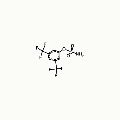 NS(=O)(=O)Oc1cc(C(F)(F)F)cc(C(F)(F)F)c1